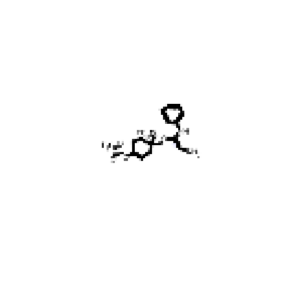 CCOC(=O)C1(CO/C(=C/N)Nc2ccccc2)CC=C(OS(=O)(=O)C(F)(F)F)CC1